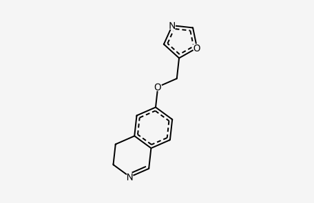 C1=NCCc2cc(OCc3cnco3)ccc21